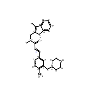 Cc1c(CN(C)C(=O)/C=C/c2cnc(N)c(CN3CCOCC3)c2)sc2ccccc12